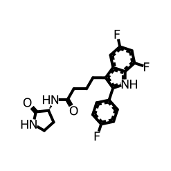 O=C(CCCc1c(-c2ccc(F)cc2)[nH]c2c(F)cc(F)cc12)N[C@@H]1CCNC1=O